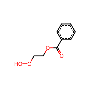 O=C(OCCOO)c1ccccc1